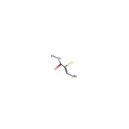 CCCCC=C(S)C(=O)NCC